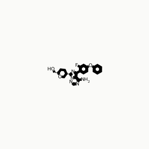 Nc1ncnn2c([C@H]3CC[C@@H](CO)OC3)nc(-c3ccc(Oc4ccccc4)cc3F)c12